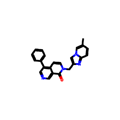 Cc1ccc2nc(Cn3ccc4c(-c5ccccc5)cncc4c3=O)cn2c1